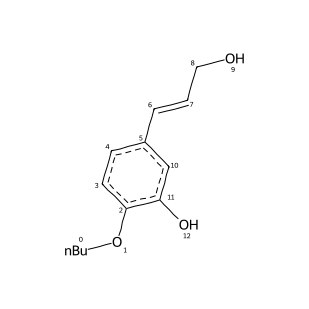 CCCCOc1ccc(/C=C/CO)cc1O